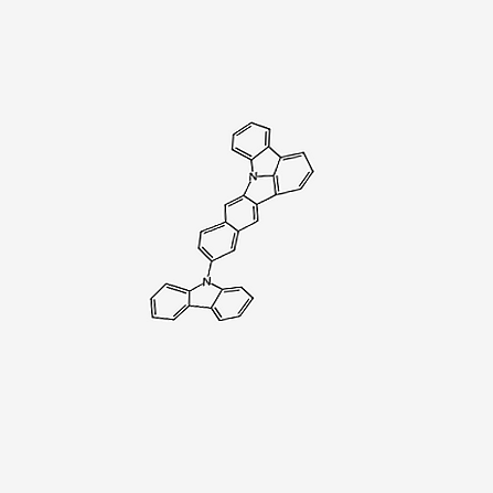 c1ccc2c(c1)c1ccccc1n2-c1ccc2cc3c(cc2c1)c1cccc2c4ccccc4n3c21